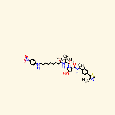 Cc1ncsc1-c1ccc([C@H](C)NC(=O)[C@@H]2C[C@@H](O)CN2C(=O)C(NC(=O)CCCCCCCCNc2ccc([N+](=O)[O-])cc2)C(C)(C)C)cc1